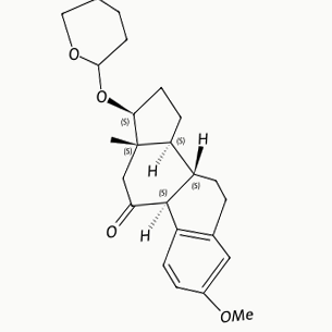 COc1ccc2c(c1)CC[C@@H]1[C@@H]2C(=O)C[C@]2(C)[C@@H](OC3CCCCO3)CC[C@@H]12